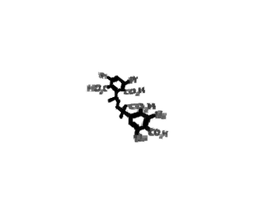 CC(C)c1cc(C(C)C)c(C(=O)O)c(C(C)CCC(C)(C)c2cc(C(C)(C)C)c(C(=O)O)c(C(C)(C)C)c2C(=O)O)c1C(=O)O